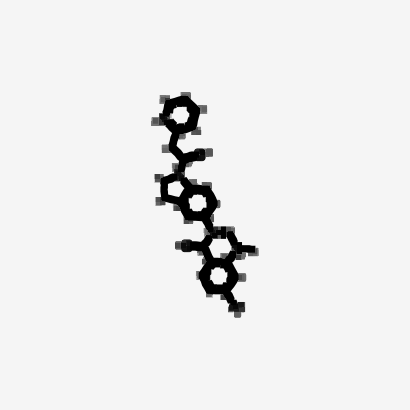 CC(=O)c1ccc(C(=O)Nc2ccc3c(c2)CCN3C(=O)Cc2ccccn2)c(N(C)C)c1